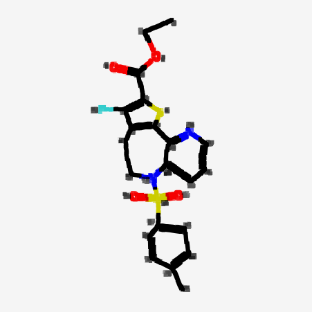 CCOC(=O)c1sc2c(c1F)CCN(S(=O)(=O)c1ccc(C)cc1)c1cccnc1-2